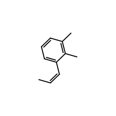 C/C=C\c1cccc(C)c1C